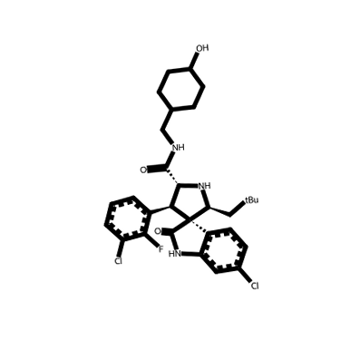 CC(C)(C)C[C@@H]1N[C@@H](C(=O)NCC2CCC(O)CC2)[C@H](c2cccc(Cl)c2F)[C@]12C(=O)Nc1cc(Cl)ccc12